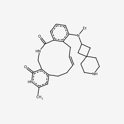 CCN(c1cccc2c1C/C=C/CCc1cc(C)[nH]c(=O)c1CNC2=O)C1CC2(CCNCC2)C1